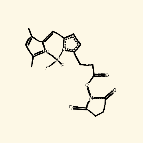 CC1=CC(C)=[N+]2C1=Cc1ccc(CCC(=O)ON3C(=O)CCC3=O)n1[B-]2(F)F